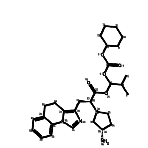 CC(C)C(OC(=O)OC1CCCCC1)OC(=O)[C@H](Cc1ncn2c1CCc1ccccc1-2)N1CC[C@H](N)C1